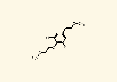 CO/C=C/c1cc(Cl)c(OCCOC)c(Cl)c1